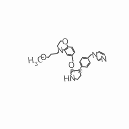 COCCCN1CCOc2ccc(CO[C@H]3CNCC[C@@H]3c3ccc(Cn4ccnc4)cc3)cc21